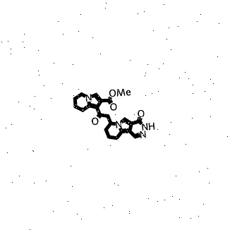 COC(=O)c1cn2c(c1C(=O)CC1CCCc3c4cn[nH]c(=O)c4cn31)CCCC2